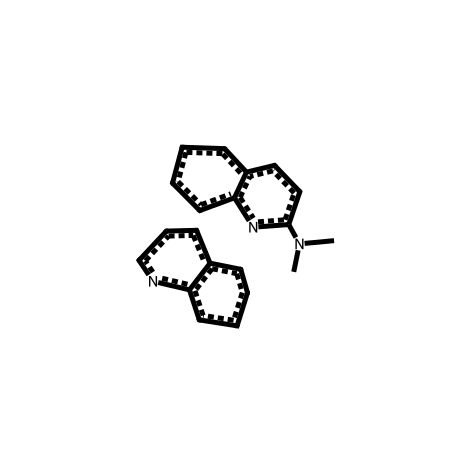 CN(C)c1ccc2ccccc2n1.c1ccc2ncccc2c1